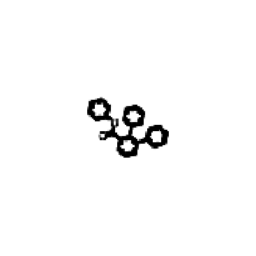 O=C(Oc1ccccc1)c1cccc(-c2ccccc2)c1-c1ccccc1